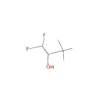 CC(C)(C)C(O)C(F)F